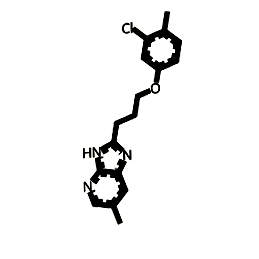 Cc1cnc2[nH]c(CCCOc3ccc(C)c(Cl)c3)nc2c1